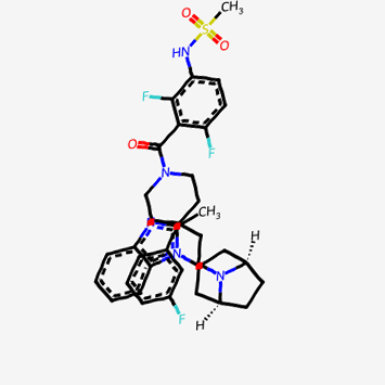 Cc1nc2ccccc2n1C1C[C@H]2CC[C@@H](C1)N2CCC1(c2cccc(F)c2)CCN(C(=O)c2c(F)ccc(NS(C)(=O)=O)c2F)CC1